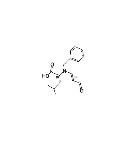 CC(C)C[C@H](C(=O)O)N(/C=C/C=O)Cc1ccccc1